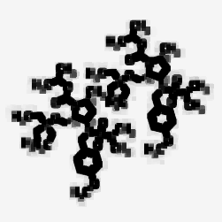 CC[Si](CC)(CC)OC[C@H]1[C@@H](N(Cc2ccc(OC)cc2)S(=O)(=O)N(C)C)C[C@@H](C)N1C(=O)OC(C)C.CC[Si](CC)(CC)OC[C@H]1[C@@H](N(Cc2ccc(OC)cc2)S(=O)(=O)N(C)C)C[C@@H](C)N1C(=O)OC(C)C